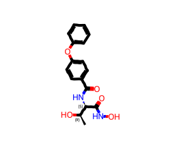 C[C@@H](O)[C@H](NC(=O)c1ccc(Oc2ccccc2)cc1)C(=O)NO